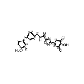 Cc1ccc(Oc2ccc(CNC(=O)c3nc(-c4cc(Cl)c(O)c(Cl)c4)no3)cc2)cc1Cl